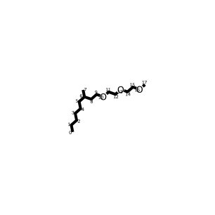 CCCCCCC(C)CCOCCOCCOC